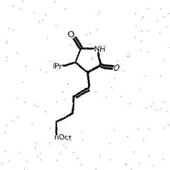 CCCCCCCCCCC=CC1C(=O)NC(=O)C1C(C)C